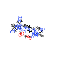 CCCCN(c1nc(NCC(=O)OCC(C)(C)COC(=O)CNc2nc(N(CCCC)C3CC(C)(C)NC(C)(C)C3)nc(N(CCCC)C3CC(C)(C)NC(C)(C)C3)n2)nc(N(CCCC)C2CC(C)(C)NC(C)(C)C2)n1)C1CC(C)(C)NC(C)(C)C1